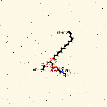 CCCCC/C=C\C/C=C\CCCCCCCCCC(=O)O[C@H](COC(=O)CCCCCCCCCCC)COP(=O)([O-])OCC[N+](C)(C)C